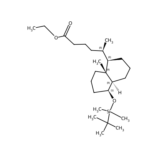 CCOC(=O)CCC[C@@H](C)[C@H]1CCC[C@H]2[C@@H](O[Si](C)(C)C(C)(C)C)CCC[C@]12C